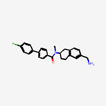 CN(C(=O)c1ccc(-c2ccc(F)cc2)cc1)C1CCc2cc(CN)ccc2C1